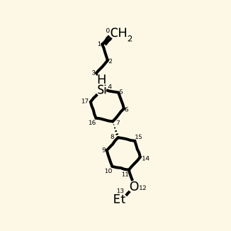 C=CCC[Si@H]1CC[C@H](C2CCC(OCC)CC2)CC1